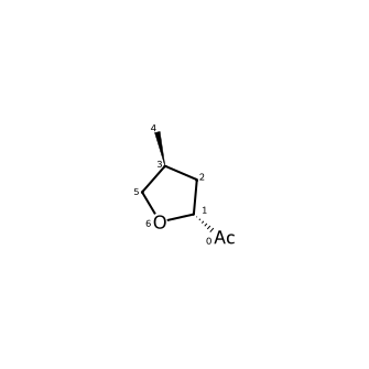 CC(=O)[C@H]1C[C@H](C)CO1